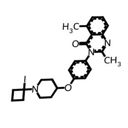 Cc1cccc2nc(C)n(-c3ccc(OC4CCN(C5(I)CCC5)CC4)cc3)c(=O)c12